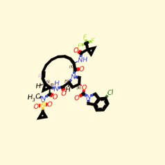 CN(C(=O)[C@@]12C[C@H]1/C=C\CCCCC[C@H](NC(=O)C1(C(F)(F)F)CC1)C(=O)N1C[C@H](OC(=O)N3Cc4cccc(Cl)c4C3)C[C@H]1C(=O)N2)S(=O)(=O)C1CC1